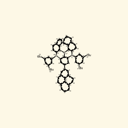 CC(C)(C)c1cc(N2c3cc(-c4cc5ccc6cccc7ccc(c4)c5c67)cc4c3B(c3c2ccc2ccccc32)c2c(ccc3ccccc23)N4c2cc(C(C)(C)C)cc(C(C)(C)C)c2)cc(C(C)(C)C)c1